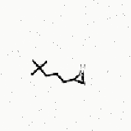 CC(C)(C)CCCC1CN1